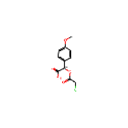 COc1ccc([C@@H](OC(=O)CCl)C(=O)O)cc1